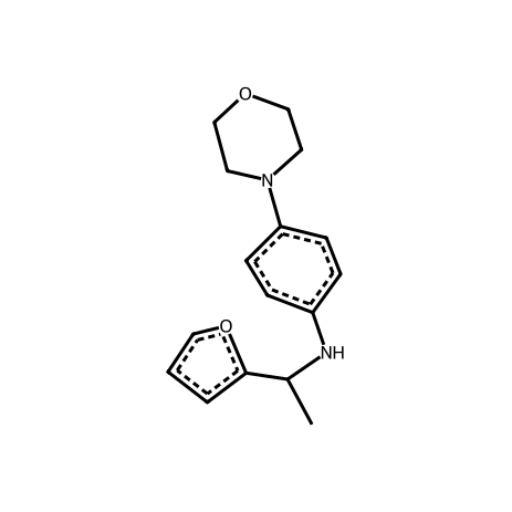 CC(Nc1ccc(N2CCOCC2)cc1)c1ccco1